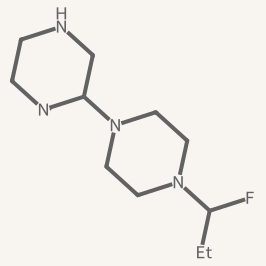 CCC(F)N1CCN(C2CNCC[N]2)CC1